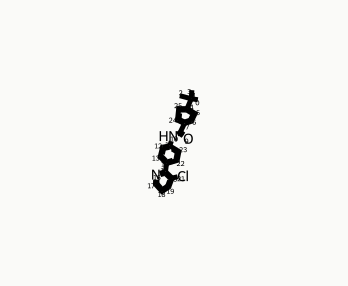 CC(C)(C)c1ccc(C(=O)Nc2ccc(-c3ncccc3Cl)cc2)cc1